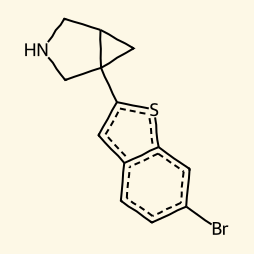 Brc1ccc2cc(C34CNCC3C4)sc2c1